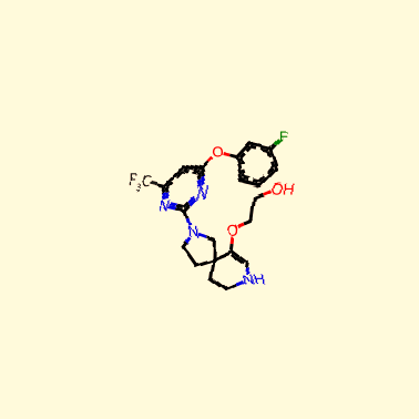 OCCOC1=CNCCC12CCN(c1nc(Oc3cccc(F)c3)cc(C(F)(F)F)n1)C2